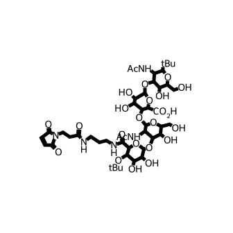 CC(=O)NC1C(OC2C(C(=O)O)OC(OC3C(O)C(CO)OC(C(C)(C)C)C3NC(C)=O)C(O)C2O)OC(CO)C(O)C1OC1OC(C(=O)NCCCNC(=O)CCN2C(=O)C=CC2=O)C(OC(C)(C)C)C(O)C1O